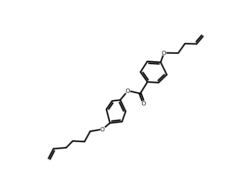 C=CCCCCOc1ccc(OC(=O)c2ccc(OCCC=C)cc2)cc1